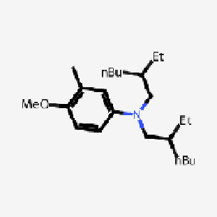 CCCCC(CC)CN(CC(CC)CCCC)c1ccc(OC)c(C)c1